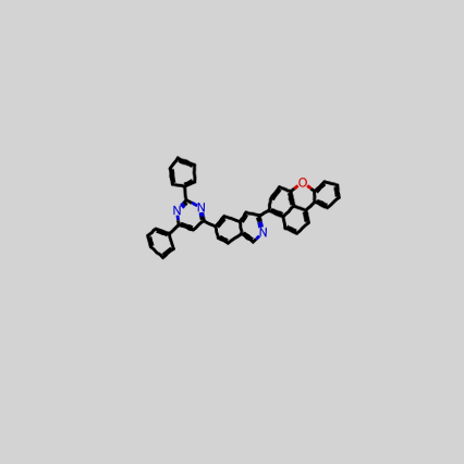 c1ccc(-c2cc(-c3ccc4cnc(-c5ccc6c7c(cccc57)-c5ccccc5O6)cc4c3)nc(-c3ccccc3)n2)cc1